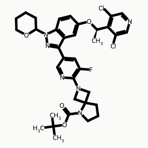 C[C@@H](Oc1ccc2c(c1)c(-c1cnc(N3CC4(CCCN4C(=O)OC(C)(C)C)C3)c(F)c1)nn2C1CCCCO1)c1c(Cl)cncc1Cl